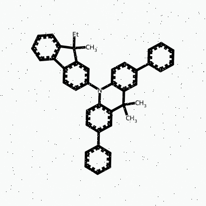 CCC1(C)c2ccccc2-c2ccc(N3c4ccc(-c5ccccc5)cc4C(C)(C)c4cc(-c5ccccc5)ccc43)cc21